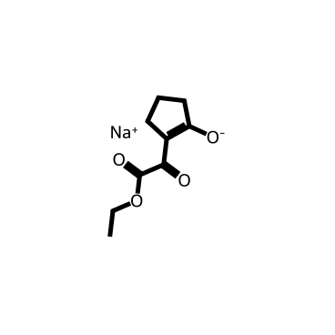 CCOC(=O)C(=O)C1=C([O-])CCC1.[Na+]